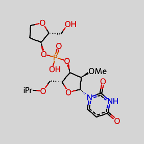 CO[C@@H]1[C@H](OP(=O)(O)O[C@H]2CCO[C@@H]2CO)[C@@H](COC(C)C)O[C@H]1n1ccc(=O)[nH]c1=O